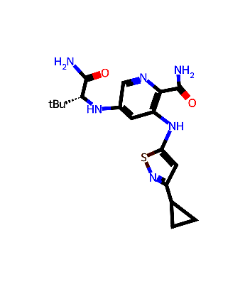 CC(C)(C)[C@@H](Nc1cnc(C(N)=O)c(Nc2cc(C3CC3)ns2)c1)C(N)=O